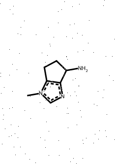 Cn1cnc2c1CCC2N